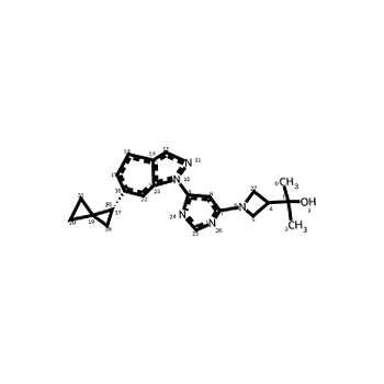 CC(C)(O)C1CN(c2cc(-n3ncc4ccc([C@@H]5CC56CC6)cc43)ncn2)C1